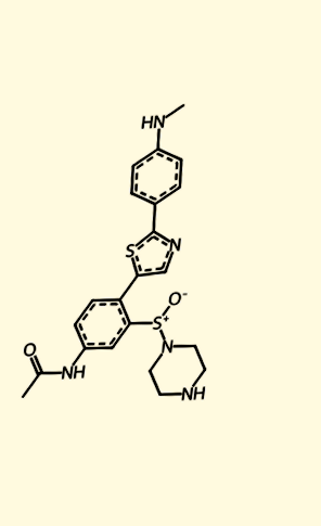 CNc1ccc(-c2ncc(-c3ccc(NC(C)=O)cc3[S+]([O-])N3CCNCC3)s2)cc1